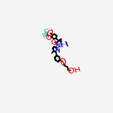 Cc1ccc(NC(=O)C2(c3ccc4c(c3)OC(F)(F)O4)CC2)nc1-c1cccc(OCCCO)c1